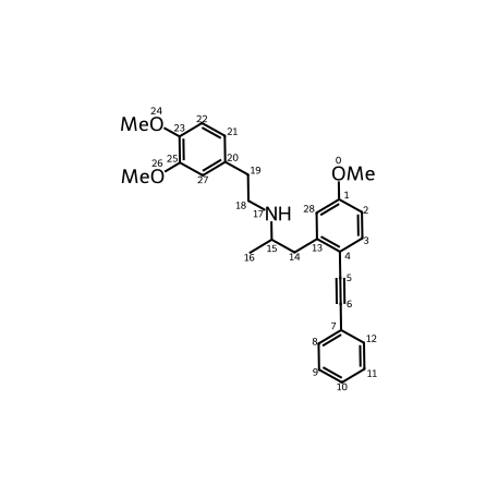 COc1ccc(C#Cc2ccccc2)c(CC(C)NCCc2ccc(OC)c(OC)c2)c1